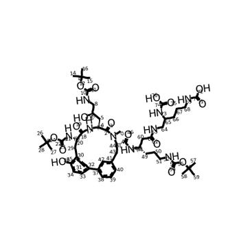 CN1C(=O)[C@H](C[C@@H](O)CNC(=O)OC(C)(C)C)NC(=O)[C@@H](NC(=O)OC(C)(C)C)Cc2cc(ccc2O)-c2cccc(c2)C[C@H]1C(=O)N[C@@H](CCCNC(=O)OC(C)(C)C)CC(=O)NCC(CCCNC(=O)O)NC(=O)O